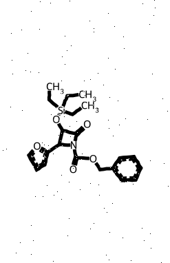 CC[Si](CC)(CC)OC1C(=O)N(C(=O)OCc2ccccc2)C1c1ccco1